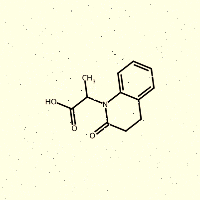 CC(C(=O)O)N1C(=O)CCc2ccccc21